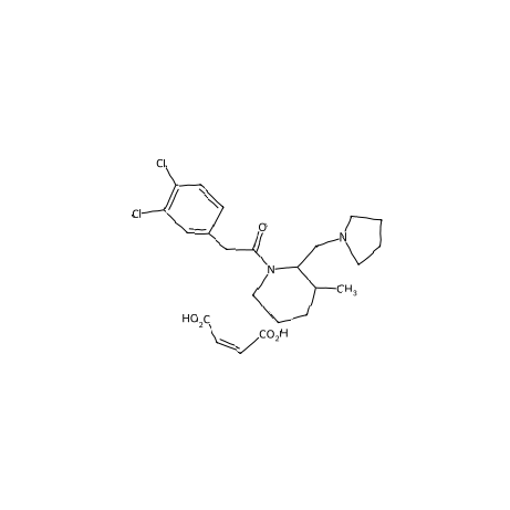 CC1CCCN(C(=O)Cc2ccc(Cl)c(Cl)c2)C1CN1CCCC1.O=C(O)/C=C\C(=O)O